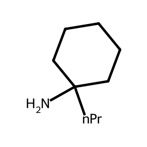 CCCC1(N)CCCCC1